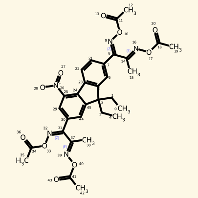 CCC1(CC)c2cc(C(=N/OC(C)=O)/C(C)=N/OC(C)=O)ccc2-c2c([N+](=O)[O-])cc(C(=N/OC(C)=O)/C(C)=N/OC(C)=O)cc21